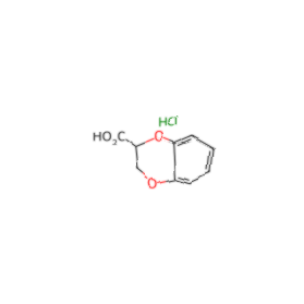 Cl.O=C(O)C1COc2ccccc2O1